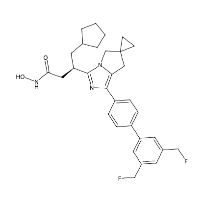 O=C(C[C@@H](CC1CCCC1)c1nc(-c2ccc(-c3cc(CF)cc(CF)c3)cc2)c2n1CC1(CC1)C2)NO